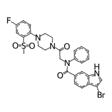 CS(=O)(=O)c1cc(F)ccc1N1CCN(C(=O)CN(C(=O)c2ccc3c(Br)c[nH]c3c2)c2ccccc2)CC1